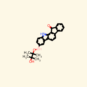 CC(C)(O)C(C)(C)OBc1ccc2[nH]c3c4c(ccc3c2c1)-c1ccccc1C4=O